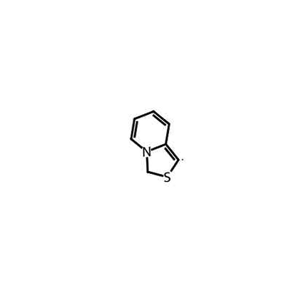 [C]1=C2C=CC=CN2CS1